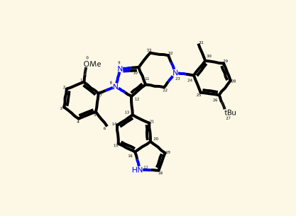 COc1cccc(C)c1-n1nc2c(c1-c1ccc3[nH]ccc3c1)CN(c1cc(C(C)(C)C)ccc1C)CC2